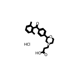 Cc1cccc(C)c1C(=O)c1ccc(C2CN(CCC(=O)O)CCO2)cc1.Cl